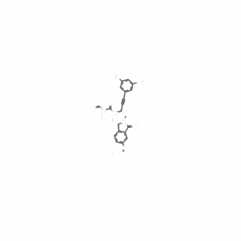 COc1ccc2c(c1)C(=O)N(C[C@@H](C#Cc1cc(C)cc(F)c1)NC(=O)NC=O)C2